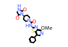 COc1ncc(C2=CC=CCC2)c2sc(NC(=O)N3CCC(N4C(=O)CNC4=O)CC3)nc12